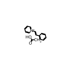 C(=C[n+]1ccccc1)c1ccccc1.CC(=O)O